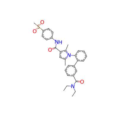 CCN(CC)C(=O)c1cccc(-c2ccccc2-n2c(C)cc(C(=O)Nc3ccc(S(C)(=O)=O)cc3)c2C)c1